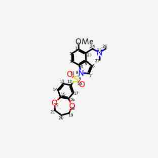 COc1ccc2c(ccn2S(=O)(=O)c2ccc3c(c2)OCCCO3)c1CN(C)C